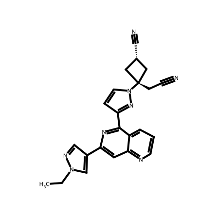 CCn1cc(-c2cc3ncccc3c(-c3ccn([C@]4(CC#N)C[C@H](C#N)C4)n3)n2)cn1